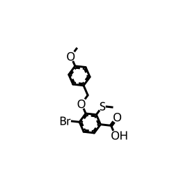 COc1ccc(COc2c(Br)ccc(C(=O)O)c2SC)cc1